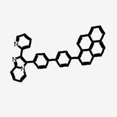 c1ccc(-c2nc3ccccn3c2-c2ccc(-c3ccc(-c4ccc5ccc6cccc7ccc4c5c67)cc3)cc2)nc1